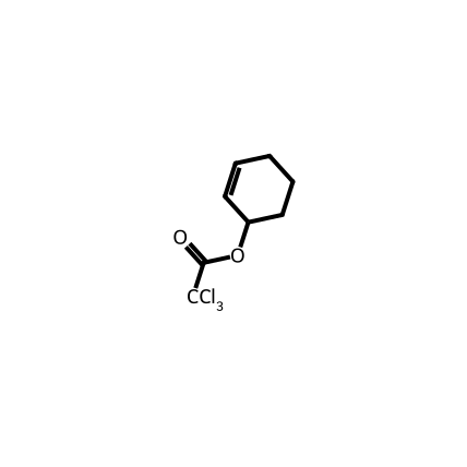 O=C(OC1C=CCCC1)C(Cl)(Cl)Cl